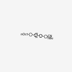 CCCCCCCCC1CCC(c2cnc(-c3ccc(C4CCC(C#N)(CCCC)CC4)cc3)nc2)CC1